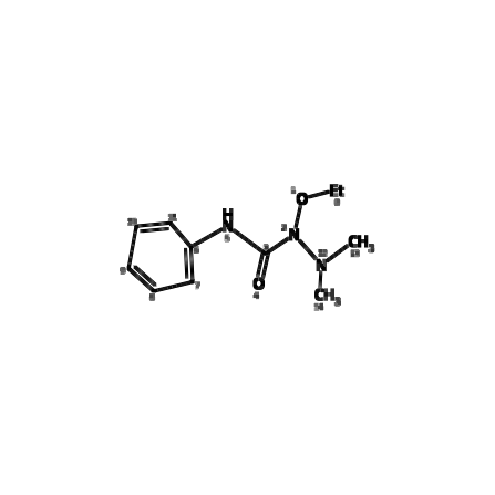 CCON(C(=O)Nc1ccccc1)N(C)C